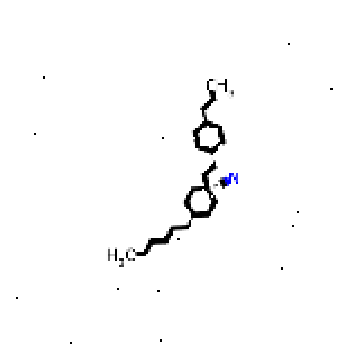 CCCCCC[C@H]1CC[C@@](C#N)(CC[C@H]2CC[C@H](CCC)CC2)CC1